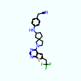 N#CCc1ccc(NC2CCC3(CCN(c4ncnc5sc(CC(F)(F)F)cc45)C3)C2)cc1